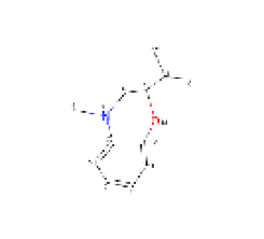 CC(C)C1CN(C)c2ccccc2O1